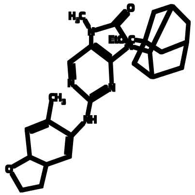 CCOC(=O)C12CC3CC(C1)C(n1c(=O)n(C)c4cnc(NC5=CC6CCOC6C=C5C)nc41)C(C3)C2